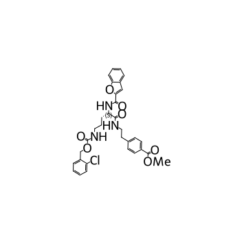 COC(=O)c1ccc(CCNC(=O)[C@H](CCCNC(=O)OCc2ccccc2Cl)NC(=O)c2cc3ccccc3o2)cc1